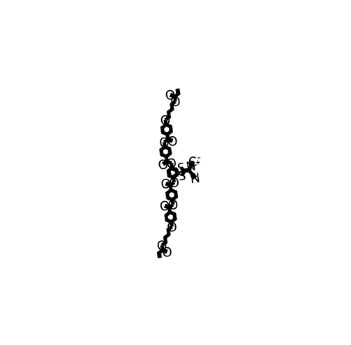 [C-]#[N+]C(C#N)=C1Sc2c(OC(=O)C3CCC(OC(=O)C4CCC(OCCCCOC(=O)C=C)CC4)CC3)ccc(OC(=O)C3CCC(OC(=O)C4CCC(OCCCCOC(=O)C=C)CC4)CC3)c2S1